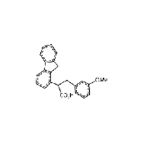 COc1cccc(CC(C(=O)O)c2cccc3c2Cc2ccccc2-3)c1